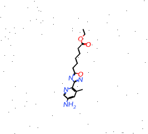 CCOC(=O)CCCCCc1nc(-c2ncc(N)cc2C)no1